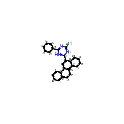 ClC1=NC(c2cc3c4ccccc4ccc3c3ccccc23)NC(c2ccccc2)=N1